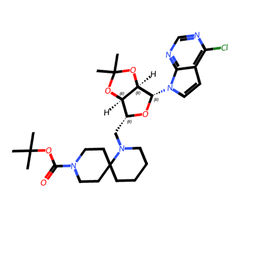 CC(C)(C)OC(=O)N1CCC2(CCCCN2C[C@H]2O[C@@H](n3ccc4c(Cl)ncnc43)[C@@H]3OC(C)(C)O[C@@H]32)CC1